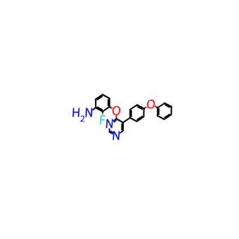 Nc1cccc(Oc2ncncc2-c2ccc(Oc3ccccc3)cc2)c1F